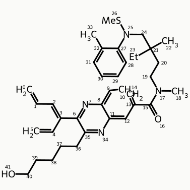 C=C/C=C(\C=C)c1nc(=C/C)/c(=C\C(=C)C(=O)N(C)CCC(C)(CC)CN(SC)c2ccccc2C)nc1CCCCCO